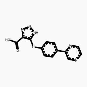 O=C(O)c1nn[nH]c1Oc1ccc(-c2cnccn2)cc1